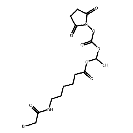 CC(OC(=O)CCCCCNC(=O)CBr)OC(=O)ON1C(=O)CCC1=O